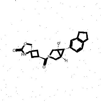 O=C1N[C@]2(CO1)C[C@H](C(=O)N1C[C@@H]3[C@H](C1)[C@H]3c1ccc3c(c1)CCC3)C2